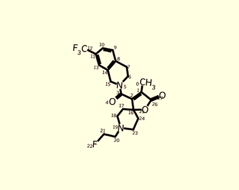 CC1=C(C(=O)N2CCc3ccc(C(F)(F)F)cc3C2)C2(CCN(CCF)CC2)OC1=O